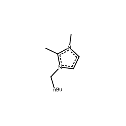 CCCCC[n+]1ccn(C)c1C